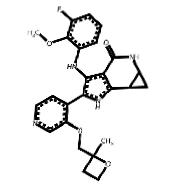 COc1c(F)cccc1Nc1c(-c2ccncc2OCC2(C)CCO2)[nH]c2c1C(=O)NC1CC21